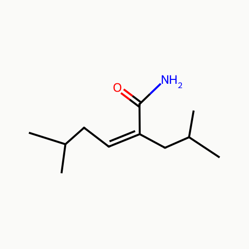 CC(C)CC=C(CC(C)C)C(N)=O